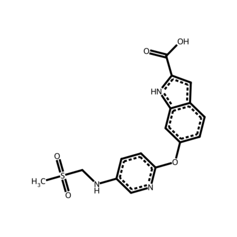 CS(=O)(=O)CNc1ccc(Oc2ccc3cc(C(=O)O)[nH]c3c2)nc1